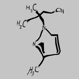 Cc1ccn(C(C)(C)C#N)n1